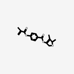 C=C(C)C(=O)Oc1ccc(C(=O)OC2=C(C)C(C)OC2)cc1